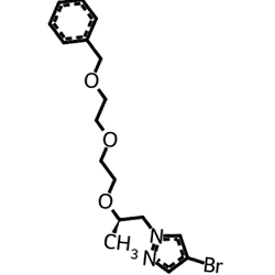 C[C@H](Cn1cc(Br)cn1)OCCOCCOCc1ccccc1